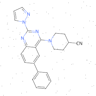 N#CC1CCN(c2nc(-n3cccn3)nc3ccc(-c4ccccc4)cc23)CC1